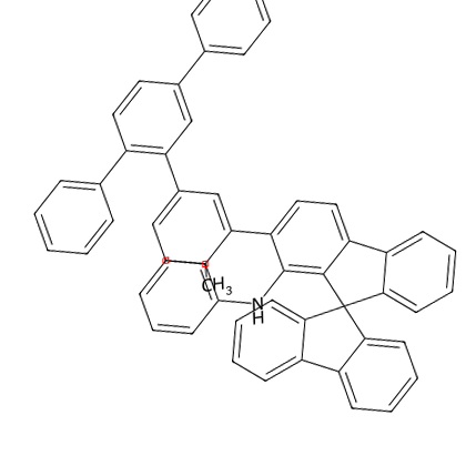 CC1CC=C(c2cc(-c3ccccc3)ccc2-c2ccccc2)C=C1c1ccc2c(c1Nc1ccccc1)C1(c3ccccc3-c3ccccc31)c1ccccc1-2